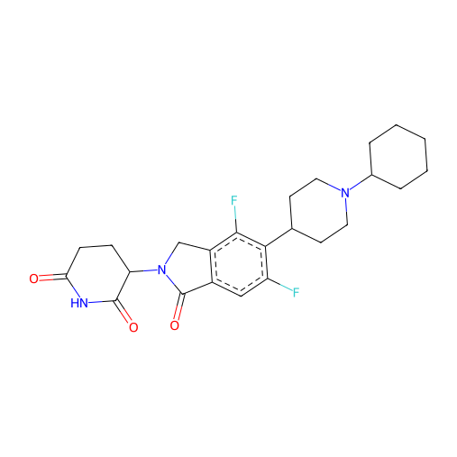 O=C1CCC(N2Cc3c(cc(F)c(C4CCN(C5CCCCC5)CC4)c3F)C2=O)C(=O)N1